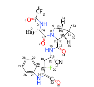 CC(C)(C)[C@H](NC(=O)C(F)(F)F)C(=O)N1C[C@H]2[C@@H]([C@H]1C(=O)N[C@H](C#N)CC1(F)C(=C=O)Nc3ccccc31)C2(C)C